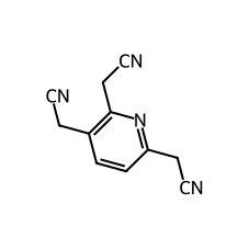 N#CCc1ccc(CC#N)c(CC#N)n1